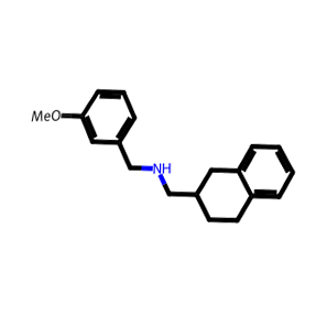 COc1cccc(CNCC2CCc3ccccc3C2)c1